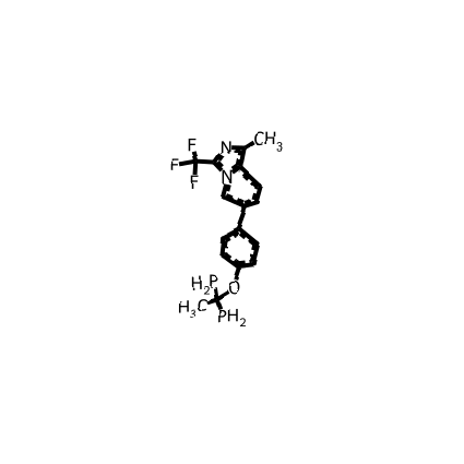 Cc1nc(C(F)(F)F)n2cc(-c3ccc(OC(C)(P)P)cc3)ccc12